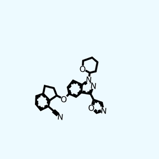 N#Cc1cccc2c1C(Oc1ccc3c(c1)c(-c1cnco1)nn3C1CCCCO1)CC2